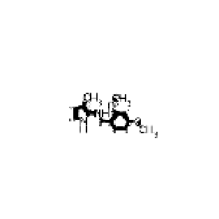 COc1ccc(CNc2[nH]ccc2C)c(OC)c1